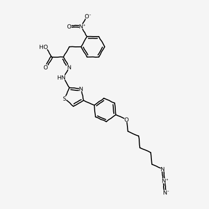 [N-]=[N+]=NCCCCCOc1ccc(-c2csc(N/N=C(/Cc3ccccc3[N+](=O)[O-])C(=O)O)n2)cc1